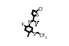 Cc1cc(F)c(N=C(c2ccc(Cl)s2)N(C)C)cc1SCC(F)(F)F